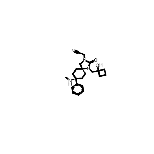 CN[C@]1(c2ccccc2)CC[C@@]2(CC1)CN(CC#N)C(=O)N2CC1(O)CCC1